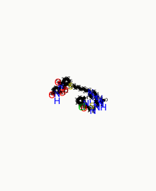 Cc1nc(Nc2ncc(C(=O)Nc3c(C)cccc3Cl)s2)cc(N2CCN(CCCCCCCSc3cccc4c3C(=O)N(C3CCC(=O)NC3=O)C4=O)CC2)n1